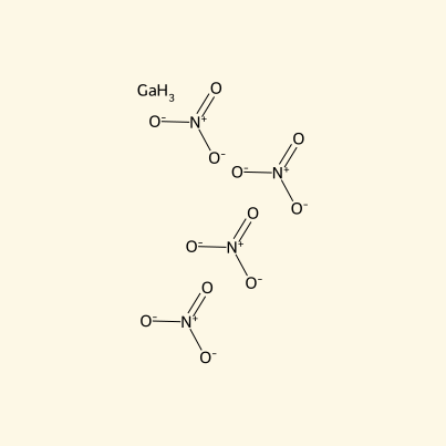 O=[N+]([O-])[O-].O=[N+]([O-])[O-].O=[N+]([O-])[O-].O=[N+]([O-])[O-].[GaH3]